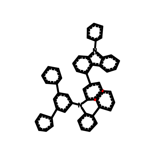 c1ccc(-c2cc(-c3ccccc3)cc(N(c3cccc(-c4cccc5c4c4ccccc4n5-c4ccccc4)c3)c3ccccc3-c3ccccc3)c2)cc1